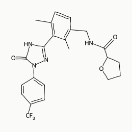 Cc1ccc(CNC(=O)C2CCCO2)c(C)c1-c1nn(-c2ccc(C(F)(F)F)cc2)c(=O)[nH]1